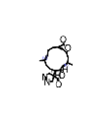 C/C1=C\CCC2=CC(C/C(C)=C/[C@@H]3OC(=O)C4(CN=NC4)[C@H]3CC1)OC2=O